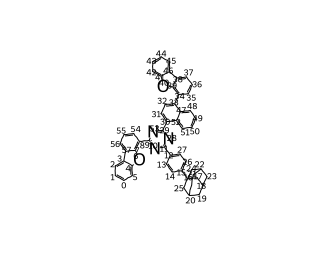 c1ccc2c(c1)oc1c(-c3nc(-c4ccc(C56CC7CC(CC(C7)C5)C6)cc4)nc(-c4ccc(-c5cccc6c5oc5ccccc56)c5ccccc45)n3)cccc12